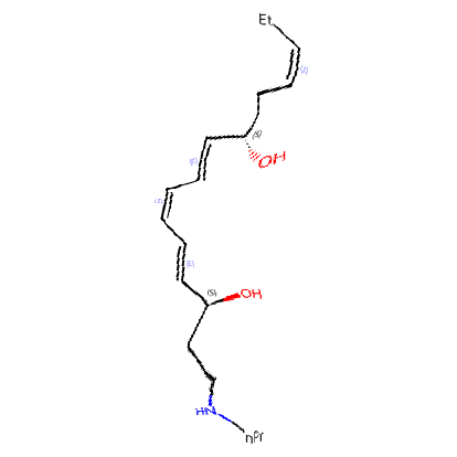 CC/C=C\C[C@H](O)/C=C/C=C\C=C\[C@@H](O)CCNCCC